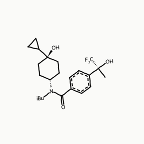 CCC(C)N(C(=O)c1ccc([C@](C)(O)C(F)(F)F)cc1)[C@H]1CC[C@@](O)(C2CC2)CC1